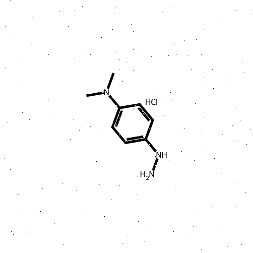 CN(C)c1ccc(NN)cc1.Cl